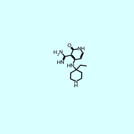 CCC1(Nc2cc[nH]c(=O)c2C(=N)N)CCNCC1